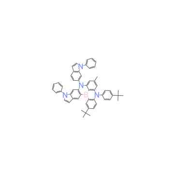 Cc1cc2c3c(c1)N(c1ccc4ccn(-c5ccccc5)c4c1)c1cc4c(ccn4-c4ccccc4)cc1B3c1cc(C(C)(C)C)ccc1N2c1ccc(C(C)(C)C)cc1